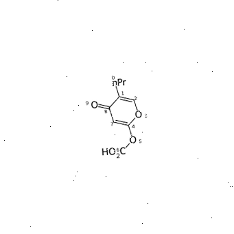 CCCc1coc(OC(=O)O)cc1=O